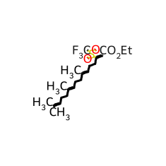 CCOC(=O)/C=C(/CC/C=C(\C)CC/C=C(\C)CCC=C(C)C)S(=O)(=O)C(F)(F)F